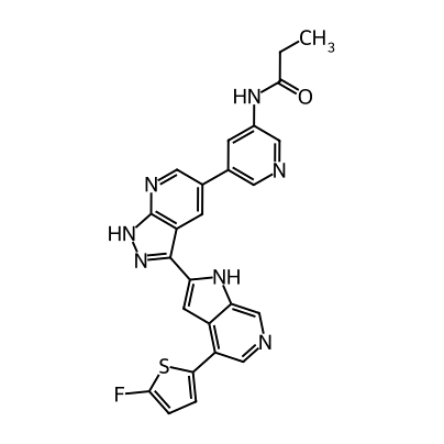 CCC(=O)Nc1cncc(-c2cnc3[nH]nc(-c4cc5c(-c6ccc(F)s6)cncc5[nH]4)c3c2)c1